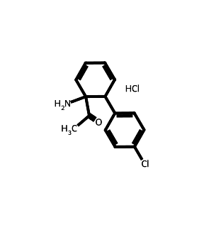 CC(=O)C1(N)C=CC=CC1c1ccc(Cl)cc1.Cl